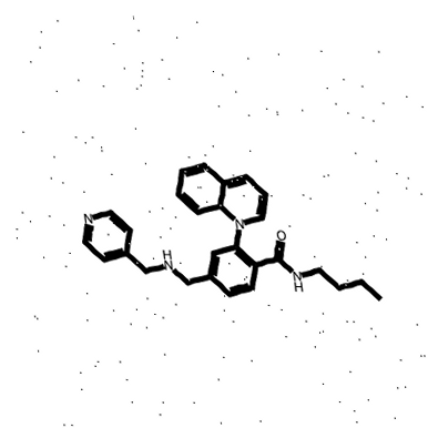 CCCCNC(=O)c1ccc(CNCc2ccncc2)cc1N1C=CC=C2C=CC=CC21